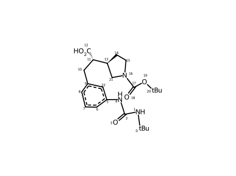 CC(C)(C)NC(=O)Nc1cccc(C[C@H](C(=O)O)[C@H]2CCN(C(=O)OC(C)(C)C)C2)c1